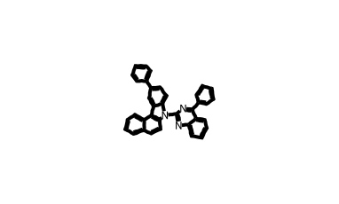 c1ccc(-c2ccc3c(c2)c2c4ccccc4ccc2n3-c2nc(-c3ccccc3)c3ccccc3n2)cc1